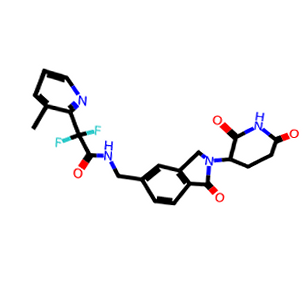 Cc1cccnc1C(F)(F)C(=O)NCc1ccc2c(c1)CN(C1CCC(=O)NC1=O)C2=O